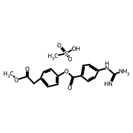 COC(=O)Cc1ccc(OC(=O)c2ccc(NC(=N)N)cc2)cc1.CS(=O)(=O)O